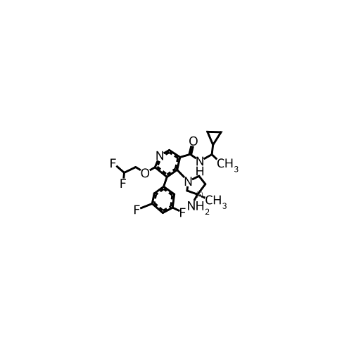 CC(NC(=O)c1cnc(OCC(F)F)c(-c2cc(F)cc(F)c2)c1N1CC[C@](C)(N)C1)C1CC1